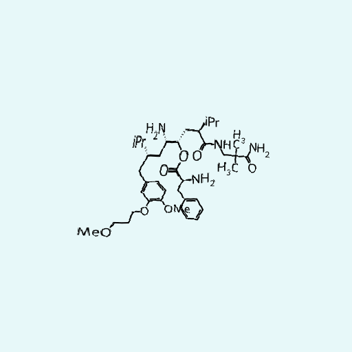 COCCCOc1cc(C[C@@H](C[C@H](N)[C@H](C[C@H](C(=O)NCC(C)(C)C(N)=O)C(C)C)OC(=O)[C@@H](N)Cc2ccccc2)C(C)C)ccc1OC